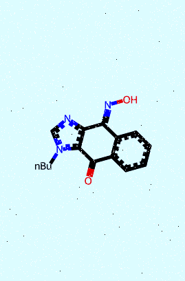 CCCCn1cnc2c1C(=O)c1ccccc1/C2=N\O